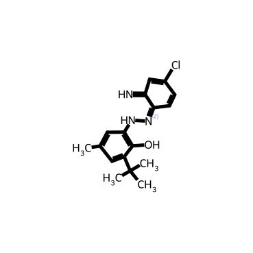 Cc1cc(N/N=C2/C=CC(Cl)=CC2=N)c(O)c(C(C)(C)C)c1